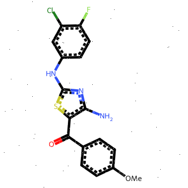 COc1ccc(C(=O)c2sc(Nc3ccc(F)c(Cl)c3)nc2N)cc1